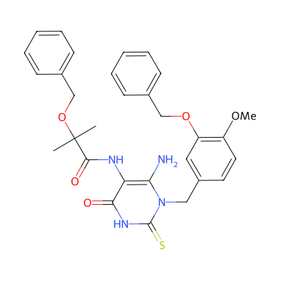 COc1ccc(Cn2c(N)c(NC(=O)C(C)(C)OCc3ccccc3)c(=O)[nH]c2=S)cc1OCc1ccccc1